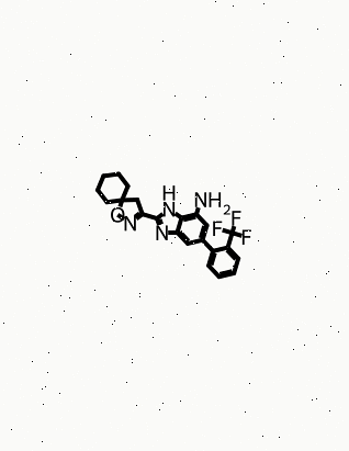 Nc1cc(-c2ccccc2C(F)(F)F)cc2nc(C3=NOC4(CCCCC4)C3)[nH]c12